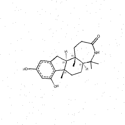 CC1(C)NC(=O)CC[C@]2(C)[C@@H]1CC[C@]1(C)c3c(O)cc(O)cc3C[C@@H]21